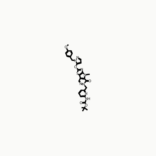 COc1ccc(Cn2nccc2Oc2nc3c(s2)c2cnn(Cc4cccc(NC(=O)OC(C)(C)C)n4)c(=O)c2n3C)cc1